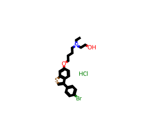 CCN(CCO)CCCCOc1ccc2c(-c3ccc(Br)cc3)csc2c1.Cl